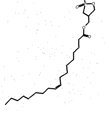 CCCCCCCC/C=C\CCCCCCCC(=O)OCC1COP(=O)(O)C1